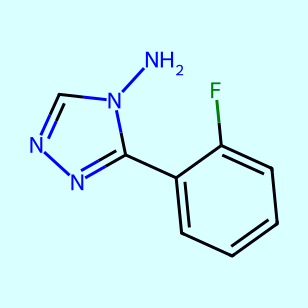 Nn1cnnc1-c1ccccc1F